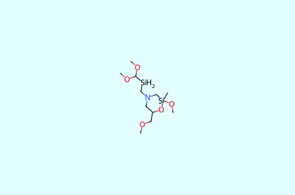 COCC1CN(C[SiH2]C(OC)OC)C[Si](C)(OC)O1